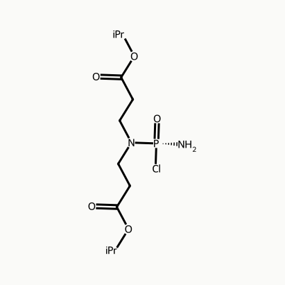 CC(C)OC(=O)CCN(CCC(=O)OC(C)C)[P@@](N)(=O)Cl